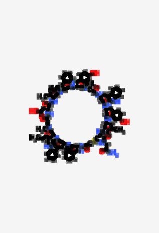 CCCC[C@H]1C(=O)N(C)CC(=O)N[C@@H](CC(=O)O)C(=O)N[C@@H](C(C)C)C(=O)N(C)[C@@H](Cc2ccccc2)C(=O)N[C@@H](Cc2ccc(O)cc2)C(=O)N(C)CC(=O)N[C@@H](Cc2c[nH]c3ccccc23)C(=O)N[C@@H](Cc2ccc(O)cc2)C(=O)N[C@@H](CC(C)C)C(=O)N[C@H](C(=O)NCC(N)=O)CSCC(=O)N[C@@H](Cc2ccccc2)C(=O)N(C)[C@@H](Cc2c[nH]c3ccccc23)C(=O)N1C